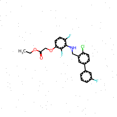 CCOC(=O)COc1ccc(F)c(NCc2cc(-c3cccc(F)c3)ccc2Cl)c1F